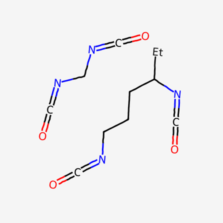 CCC(CCCN=C=O)N=C=O.O=C=NCN=C=O